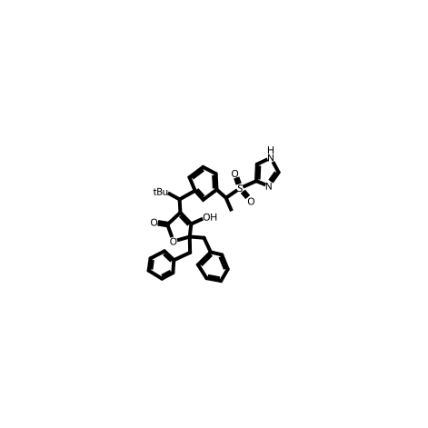 CC(c1cccc(C(C2=C(O)C(Cc3ccccc3)(Cc3ccccc3)OC2=O)C(C)(C)C)c1)S(=O)(=O)c1c[nH]cn1